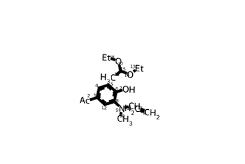 C=C.CC(=O)c1ccc(O)c(N(C)C)c1.CCOC(C)OCC